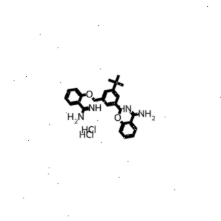 CC(C)(C)c1cc(COc2ccccc2C(=N)N)cc(COc2ccccc2C(=N)N)c1.Cl.Cl